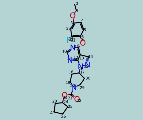 CCOc1ccc(Oc2ncnc3c2cnn3C2CCN(C(=O)OC3CCCC3)CC2)c(F)c1